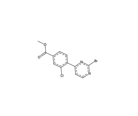 COC(=O)c1ccc(-c2ccnc(Br)n2)c(Cl)c1